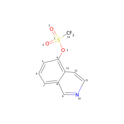 O=S(=O)(Oc1cccc2cnccc12)C(F)(F)F